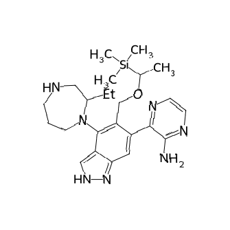 CCC1CNCCCN1c1c(COC(C)[Si](C)(C)C)c(-c2nccnc2N)cc2n[nH]cc12